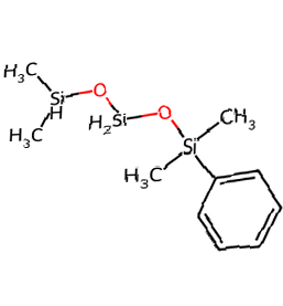 C[SiH](C)O[SiH2]O[Si](C)(C)c1ccccc1